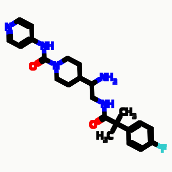 CC(C)(C(=O)NCC(N)C1CCN(C(=O)Nc2ccncc2)CC1)c1ccc(F)cc1